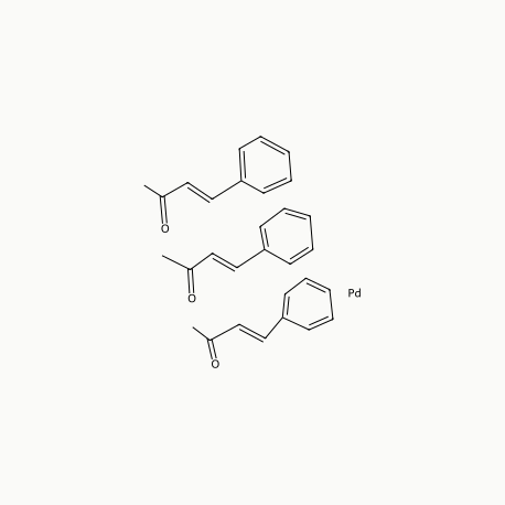 CC(=O)C=Cc1ccccc1.CC(=O)C=Cc1ccccc1.CC(=O)C=Cc1ccccc1.[Pd]